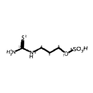 NC(=S)NCCCOS(=O)(=O)O